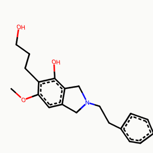 COc1cc2c(c(O)c1CCCO)CN(CCc1ccccc1)C2